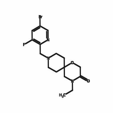 CCN1CC2(CCN(Cc3ncc(Br)cc3F)CC2)OCC1=O